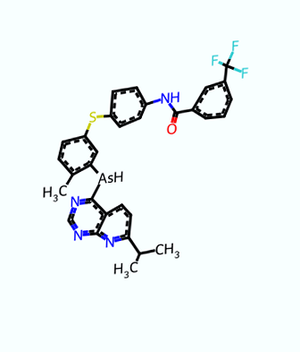 Cc1ccc(Sc2ccc(NC(=O)c3cccc(C(F)(F)F)c3)cc2)cc1[AsH]c1ncnc2nc(C(C)C)ccc12